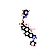 CC12Cc3cnn(C4CCOCC4)c3C=C1CCC1C2[C@@H](O)CC2(C)C1CC[C@]2(O)C(=O)CSc1nc2ncccc2o1